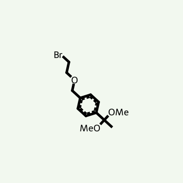 COC(C)(OC)c1ccc(COCCBr)cc1